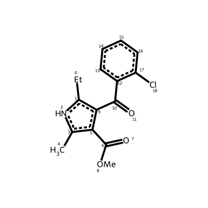 CCc1[nH]c(C)c(C(=O)OC)c1C(=O)c1ccccc1Cl